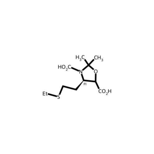 CCSCC[C@@H]1C(C(=O)O)OC(C)(C)N1C(=O)O